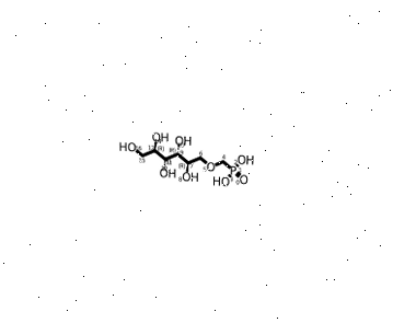 O=P(O)(O)COC[C@@H](O)[C@@H](O)[C@H](O)[C@H](O)CO